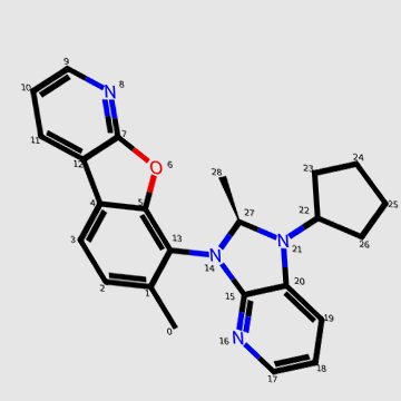 Cc1ccc2c(oc3ncccc32)c1N1c2ncccc2N(C2CCCC2)[C@@H]1C